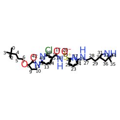 CC(C)(C)CCCOC1CCN(c2ccc(C(=O)N[S+]([O-])c3cccc(NCCCC4CNC(C)(C)C4)n3)c(Cl)n2)C1=O